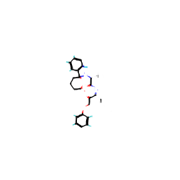 CC(C)[C@H](NC1(c2c(F)cc(F)c(F)c2F)CCCCO1)C(=O)N[C@@H](CC(=O)O)C(=O)COc1c(F)c(F)cc(F)c1F